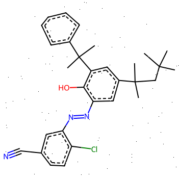 CC(C)(C)CC(C)(C)c1cc(N=Nc2cc(C#N)ccc2Cl)c(O)c(C(C)(C)c2ccccc2)c1